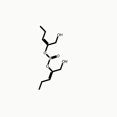 CCC=C(CO)OS(=O)OC(=CCC)CO